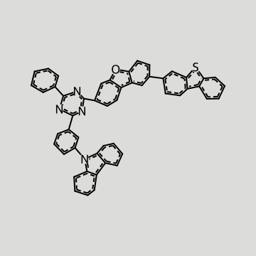 c1ccc(-c2nc(-c3cccc(-n4c5ccccc5c5ccccc54)c3)nc(-c3ccc4c(c3)oc3ccc(-c5ccc6c(c5)sc5ccccc56)cc34)n2)cc1